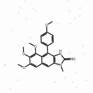 COc1ccc(-c2c3[nH]c(=N)n(C)c3cc3cc(OC)c(OC)c(OC)c23)cc1